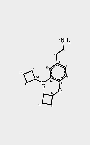 NCCc1ccc(OC2CCC2)c(OC2CCC2)c1